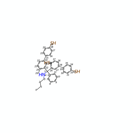 CCCCNC(c1ccccc1)(c1cc(-c2ccc(S)cc2)ccc1C)c1cc(-c2ccc(S)cc2)ccc1S